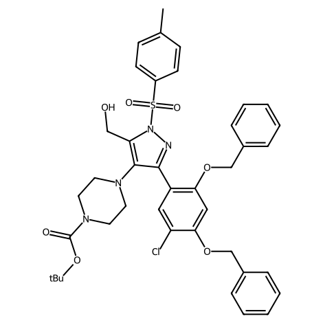 Cc1ccc(S(=O)(=O)n2nc(-c3cc(Cl)c(OCc4ccccc4)cc3OCc3ccccc3)c(N3CCN(C(=O)OC(C)(C)C)CC3)c2CO)cc1